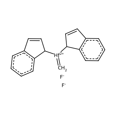 [CH2]=[Hf+2]([CH]1C=Cc2ccccc21)[CH]1C=Cc2ccccc21.[F-].[F-]